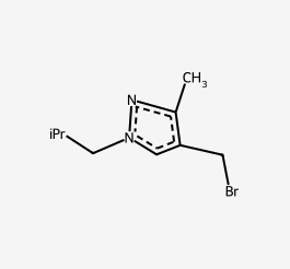 Cc1nn(CC(C)C)cc1CBr